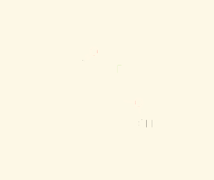 COc1ccc2c(c1F)C(=O)CCC2